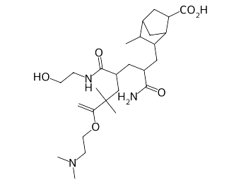 C=C(OCCN(C)C)C(C)(C)CC(CC(CC1C(C)C2CC(C(=O)O)C1C2)C(N)=O)C(=O)NCCO